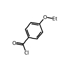 [CH2]COc1ccc(C(=O)Cl)cc1